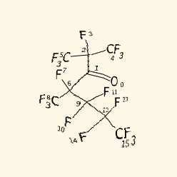 O=C(C(F)(C(F)(F)F)C(F)(F)F)C(F)(C(F)(F)F)C(F)(F)C(F)(F)C(F)(F)F